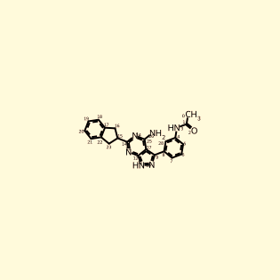 CC(=O)Nc1cccc(-c2n[nH]c3nc(C4Cc5ccccc5C4)nc(N)c23)c1